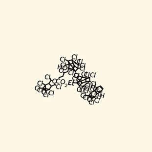 CCOC(=O)CCC(=O)CC1(O)C2(Cl)C3(Cl)C4(Cl)C(Cl)(Cl)C5(Cl)C3(Cl)C1(Cl)C5(Cl)C42Cl.ClC1(Cl)C2(Cl)C3(Cl)C4(Cl)C(Cl)(Cl)C5(Cl)C3(Cl)C1(Cl)C5(Cl)C24Cl.ClC1=C(Cl)C2(Cl)C3C(Cl)OC(Cl)C3C1(Cl)C2(Cl)Cl.ClC1=C(Cl)[C@]2(Cl)[C@H]3[C@H]([C@H]4C=C[C@@H]3C4)[C@@]1(Cl)C2(Cl)Cl